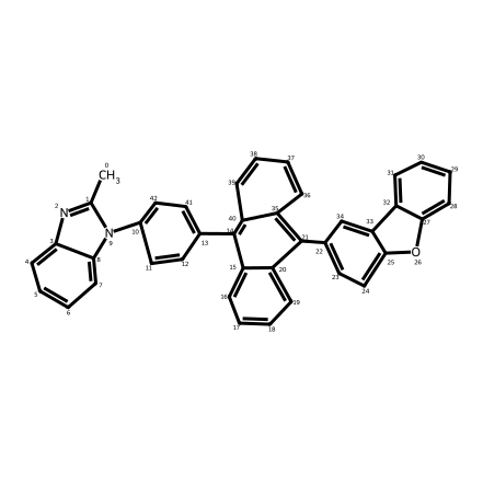 Cc1nc2ccccc2n1-c1ccc(-c2c3ccccc3c(-c3ccc4oc5ccccc5c4c3)c3ccccc23)cc1